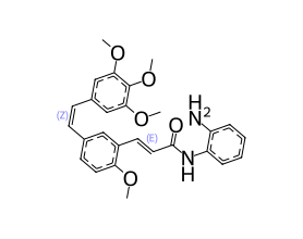 COc1ccc(/C=C\c2cc(OC)c(OC)c(OC)c2)cc1/C=C/C(=O)Nc1ccccc1N